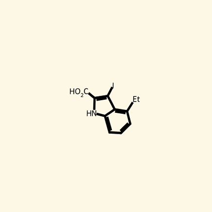 CCc1cccc2[nH]c(C(=O)O)c(I)c12